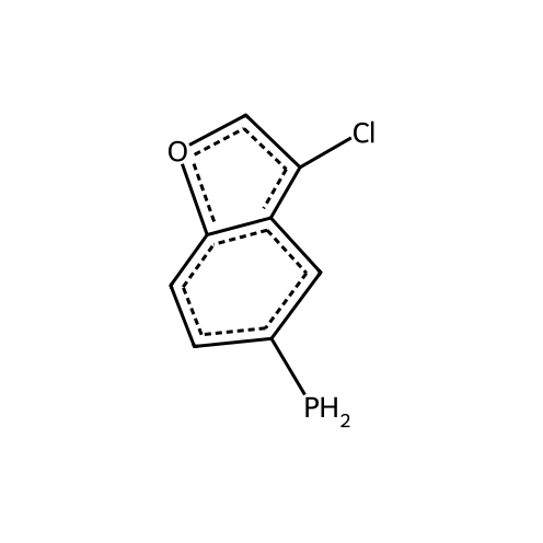 Pc1ccc2occ(Cl)c2c1